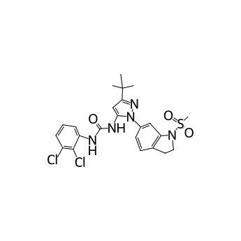 CC(C)(C)c1cc(NC(=O)Nc2cccc(Cl)c2Cl)n(-c2ccc3c(c2)N(S(C)(=O)=O)CC3)n1